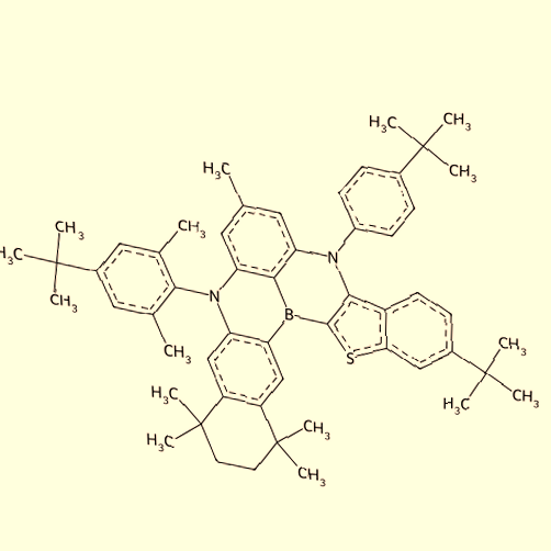 Cc1cc2c3c(c1)N(c1ccc(C(C)(C)C)cc1)c1c(sc4cc(C(C)(C)C)ccc14)B3c1cc3c(cc1N2c1c(C)cc(C(C)(C)C)cc1C)C(C)(C)CCC3(C)C